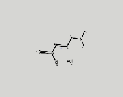 CN(C)C/C=C/C(=O)Cl.Cl